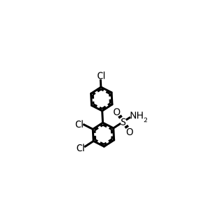 NS(=O)(=O)c1ccc(Cl)c(Cl)c1-c1ccc(Cl)cc1